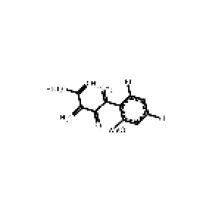 C=C(C(=C)C(=O)C(=C)c1c(CC)cc(Cl)cc1OC)C(=O)OCC